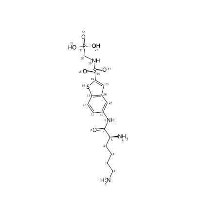 NCCCC[C@H](N)C(=O)Nc1ccc2sc(S(=O)(=O)NCP(=O)(O)O)cc2c1